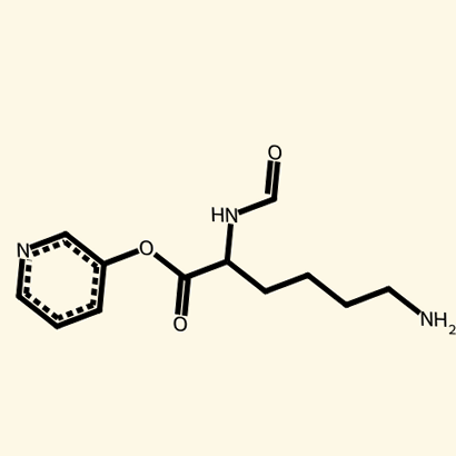 NCCCCC(NC=O)C(=O)Oc1cccnc1